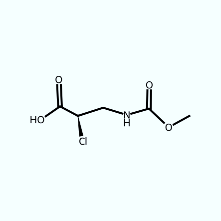 COC(=O)NC[C@@H](Cl)C(=O)O